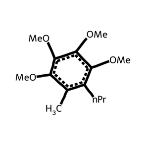 [CH2]CCc1c(C)c(OC)c(OC)c(OC)c1OC